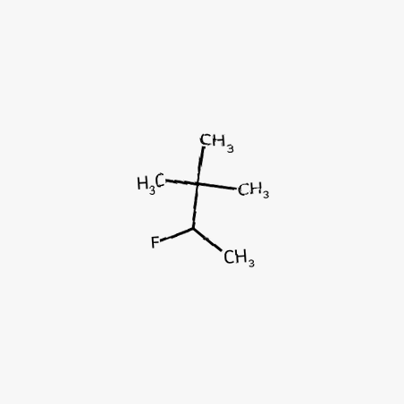 CC(F)C(C)(C)C